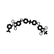 CC(C)c1cccc(N2C(=O)c3ccc(Oc4ccc(C(C)(C)c5ccc(Oc6ccc7c(c6)C(=O)N(C(C)(C)C)C7=O)cc5)cc4)cc3C2=O)c1